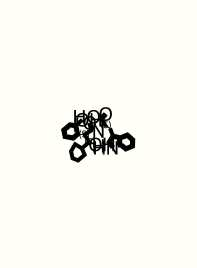 O=C(O)[C@H](Cc1c[nH]c2ccccc12)NC(=O)[C@@H](c1ccccc1O)[C@@H](O)C1CCCCC1